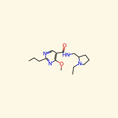 CCCc1ncc(C(=O)NCC2CCCN2CC)c(OC)n1